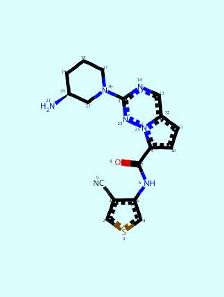 N#Cc1cscc1NC(=O)c1ccc2cnc(N3CCC[C@H](N)C3)nn12